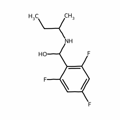 CCC(C)NC(O)c1c(F)cc(F)cc1F